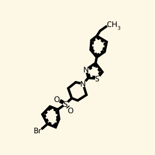 CCc1ccc(-c2csc(N3CCC(S(=O)(=O)c4ccc(Br)cc4)CC3)n2)cc1